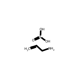 C=CCN.O=S(O)O